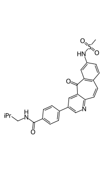 CC(C)CNC(=O)c1ccc(-c2cnc3ccc4ccc(NS(C)(=O)=O)cc4c(=O)c3c2)cc1